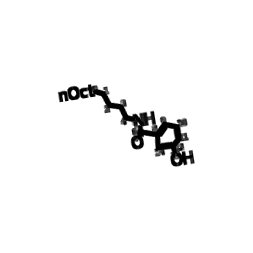 CCCCCCCCCCCCNC(=O)c1cccc(O)c1